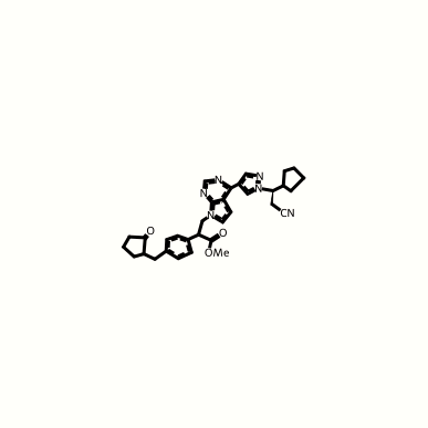 COC(=O)C(Cn1ccc2c(-c3cnn([C@H](CC#N)C4CCCC4)c3)ncnc21)c1ccc(CC2CCCC2=O)cc1